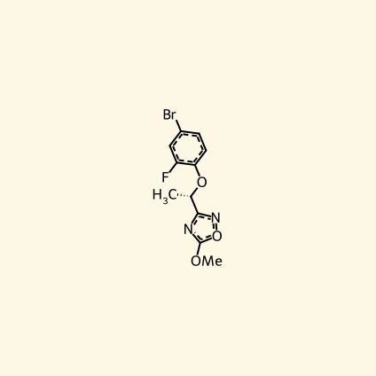 COc1nc([C@H](C)Oc2ccc(Br)cc2F)no1